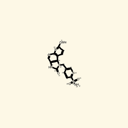 COc1ccc2c(ncc3[nH]c(=O)n(Cc4ccc(S(N)(=O)=O)nc4)c32)n1